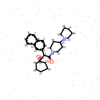 O=C(C(c1ccc2ccccc2c1)C1(O)CCCCC1)N1CCC(N2CCCCC2)CC1